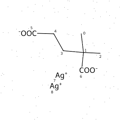 CC(C)(CCC(=O)[O-])C(=O)[O-].[Ag+].[Ag+]